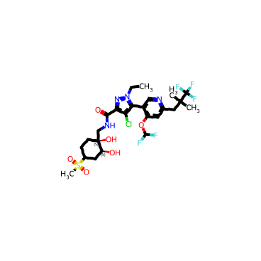 CCn1nc(C(=O)NC[C@@]2(O)CCC(S(C)(=O)=O)C[C@@H]2O)c(Cl)c1-c1cnc(CC(C)(C)C(F)(F)F)cc1OC(F)F